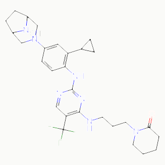 CN1C2CCC1CN(c1ccc(Nc3ncc(C(F)(F)F)c(NCCCN4CCCCC4=O)n3)c(C3CC3)c1)C2